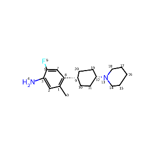 Cc1cc(N)c(F)cc1[C@H]1CC[C@@H](N2CCCCC2)CC1